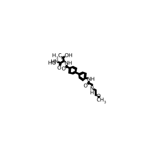 COCCNCC(=O)Nc1ccc(-c2ccc(C(=O)N[C@H](C(=O)NO)[C@@H](C)O)cc2)cc1